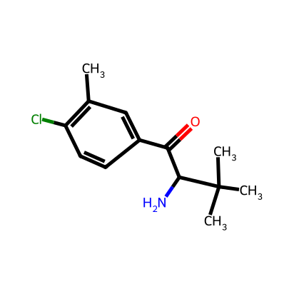 Cc1cc(C(=O)C(N)C(C)(C)C)ccc1Cl